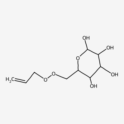 C=CCOOCC1OC(O)C(O)C(O)C1O